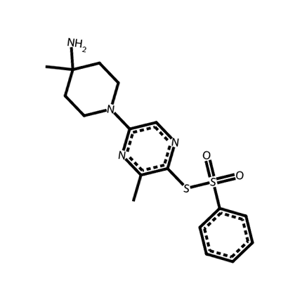 Cc1nc(N2CCC(C)(N)CC2)cnc1SS(=O)(=O)c1ccccc1